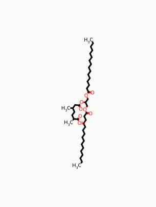 CCCCCCCCCCCCCCCC(=O)OCC(COC(=O)CCCCCCCCCCCCCCC)OC(=O)CC(C)CCC(C)C(=O)O